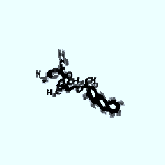 C=C(C)C(=O)OC(C)(C)CCOC(C)c1ccc2cc3ccccc3cc2c1